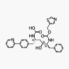 O=C(O)N[C@@H](Cc1ccc(-c2ccccn2)cc1)C[C@H](O)[C@H](Cc1ccccc1)NC(=O)OCc1cncs1